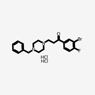 Cl.Cl.O=C(CCN1CCN(Cc2ccccc2)CC1)c1ccc(F)c(Br)c1